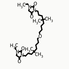 CCN1CC(=O)N(CCCC(C)(C)CCCCOCCCCC(C)(C)CCCN2C(=O)CN(CC)C2=O)C1=O